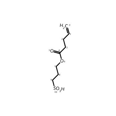 C=CCCC(=O)OCCCS(=O)(=O)O